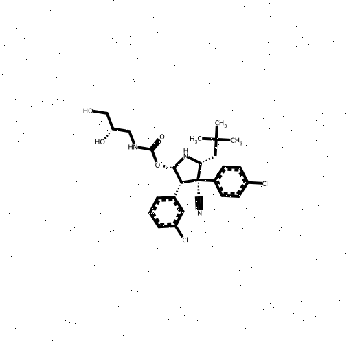 CC(C)(C)C[C@H]1N[C@@H](OC(=O)NC[C@H](O)CO)[C@@H](c2cccc(Cl)c2)[C@]1(C#N)c1ccc(Cl)cc1